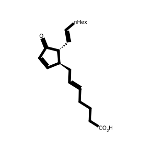 CCCCCCC=C[C@H]1C(=O)C=C[C@@H]1CC=CCCCC(=O)O